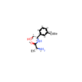 CC[C@@H](N)C(=O)N[C@H](CO)c1cccc(OC)c1